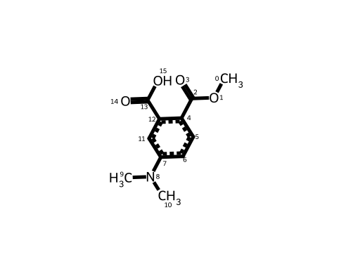 COC(=O)c1ccc(N(C)C)cc1C(=O)O